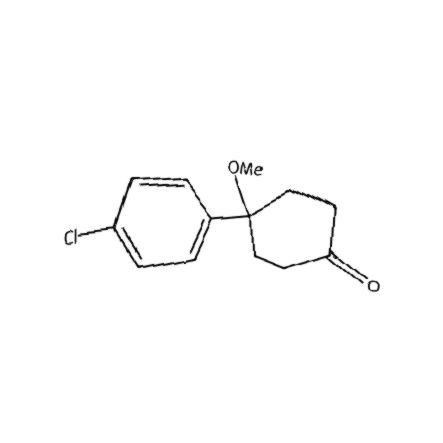 COC1(c2ccc(Cl)cc2)CCC(=O)CC1